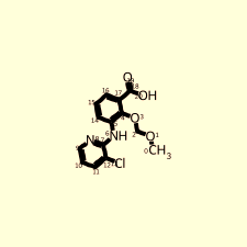 COCOc1c(Nc2ncccc2Cl)cccc1C(=O)O